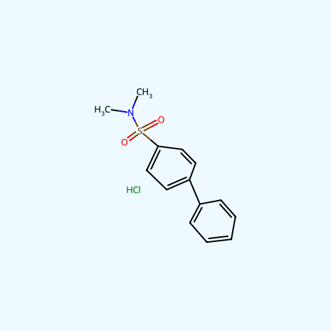 CN(C)S(=O)(=O)c1ccc(-c2ccccc2)cc1.Cl